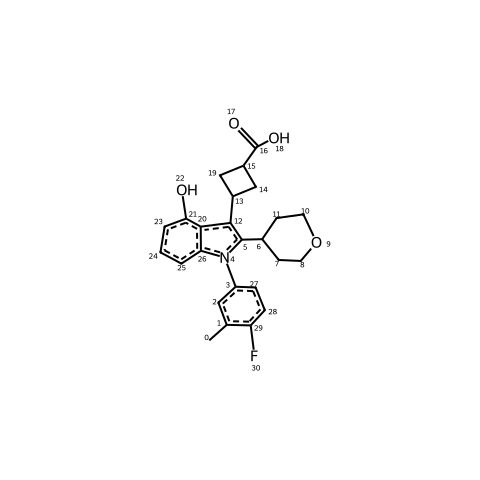 Cc1cc(-n2c(C3CCOCC3)c(C3CC(C(=O)O)C3)c3c(O)cccc32)ccc1F